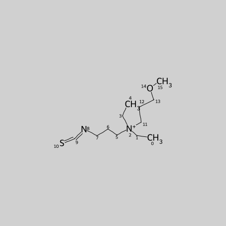 CC[N+](CC)(CCCN=C=S)CCCOC